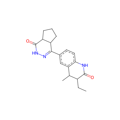 CCC1C(=O)Nc2ccc(C3=NNC(=O)C4CCCC34)cc2C1C